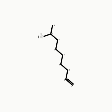 C=CCCCCCC(C)O